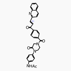 CC(=O)Nc1ccc(N2CCN(C(=O)c3ccc(C(=O)/C=C/c4ccc5ccccc5n4)cc3)CC2=O)cc1